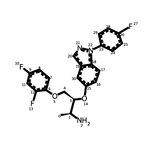 C[C@H](N)[C@@H](COc1ccc(F)cc1F)Oc1ccc2c(cnn2-c2ccc(F)cc2)c1